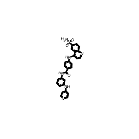 NS(=O)(=O)c1ccc2nccc(Nc3ccc(C(=O)Nc4cccc(Nc5ccncc5)c4)cc3)c2c1